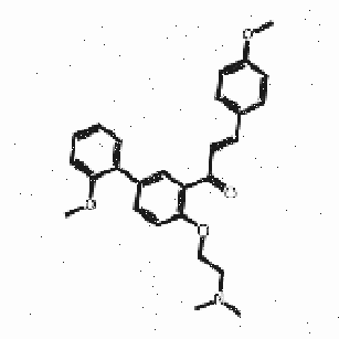 COc1ccc(/C=C/C(=O)c2cc(-c3ccccc3OC)ccc2OCCN(C)C)cc1